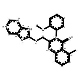 COc1ccccc1-n1c(CSc2nc3cncnc3[nH]2)nc2cccc(C)c2c1=O